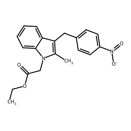 CCOC(=O)Cn1c(C)c(Cc2ccc([N+](=O)[O-])cc2)c2ccccc21